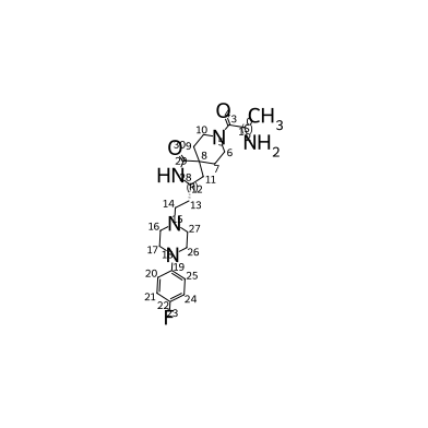 C[C@H](N)C(=O)N1CCC2(CC1)C[C@H](CCN1CCN(c3ccc(F)cc3)CC1)NC2=O